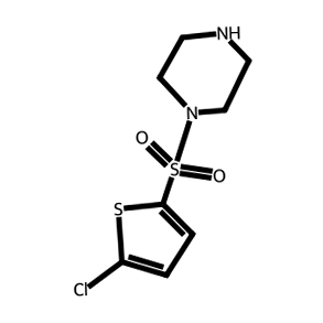 O=S(=O)(c1ccc(Cl)s1)N1CCNCC1